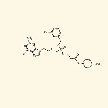 Cc1ccc(OC(=O)CCOP(=O)(COCCn2cnc3c(=O)[nH]c(N)nc32)OCc2cccc(Cl)c2)cc1